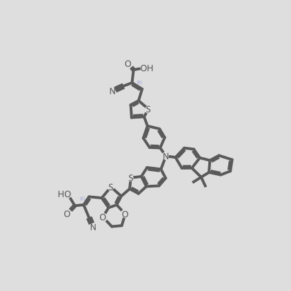 CC1(C)c2ccccc2-c2ccc(N(c3ccc(-c4ccc(/C=C(\C#N)C(=O)O)s4)cc3)c3ccc4cc(-c5sc(/C=C(\C#N)C(=O)O)c6c5OCCO6)sc4c3)cc21